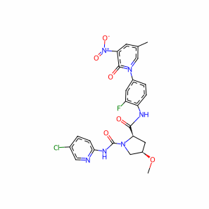 CO[C@@H]1C[C@H](C(=O)Nc2ccc(-n3cc(C)cc([N+](=O)[O-])c3=O)cc2F)N(C(=O)Nc2ccc(Cl)cn2)C1